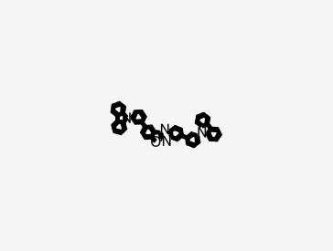 c1cc(-c2ccc3nc4c(nc3c2)oc2ccc(-c3cccc(-n5c6ccccc6c6ccccc65)c3)cc24)cc(-n2c3ccccc3c3ccccc32)c1